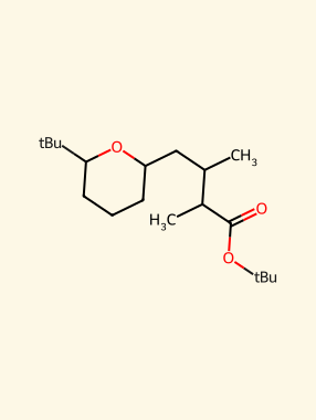 CC(CC1CCCC(C(C)(C)C)O1)C(C)C(=O)OC(C)(C)C